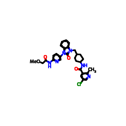 COCC(=O)Nc1ccc(-n2c(=O)n(CC3CCC(NC(=O)c4cc(Cl)cnc4C)CC3)c3ccccc32)cn1